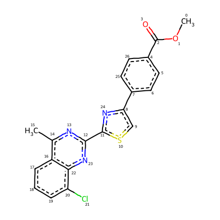 COC(=O)c1ccc(-c2csc(-c3nc(C)c4cccc(Cl)c4n3)n2)cc1